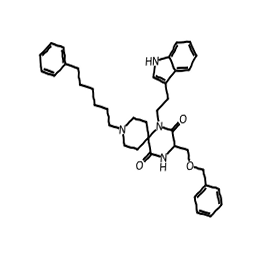 O=C1C(COCc2ccccc2)NC(=O)C2(CCN(CCCCCCc3ccccc3)CC2)N1CCc1c[nH]c2ccccc12